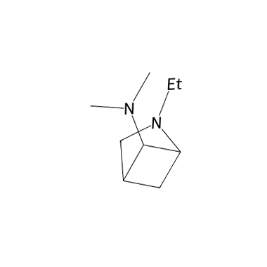 CCN1CC2CC1C2N(C)C